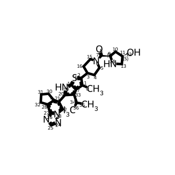 Cc1c(C2CCN(C(=O)[C@H]3C[C@H](O)CN3)CC2)sc2[nH]c(-c3cn4ncnc4c4c3CCC4)c(C(C)C)c12